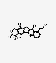 CCc1c2c(nc3cccc(C=CC(C)=O)c13)-c1cc3c(c(=O)n1C2)COC(=O)[C@]3(O)CC